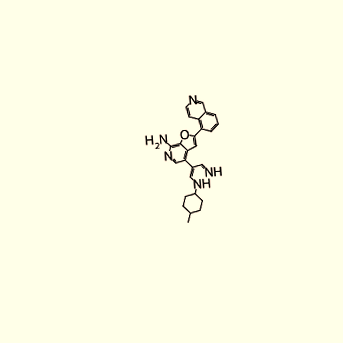 CC1CCC(N/C=C(\C=N)c2cnc(N)c3oc(-c4cccc5cnccc45)cc23)CC1